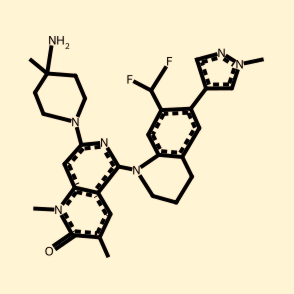 Cc1cc2c(N3CCCc4cc(-c5cnn(C)c5)c(C(F)F)cc43)nc(N3CCC(C)(N)CC3)cc2n(C)c1=O